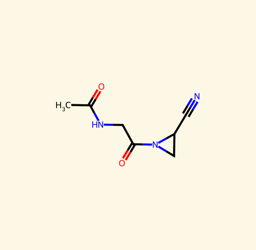 CC(=O)NCC(=O)N1CC1C#N